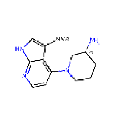 CNc1c[nH]c2nccc(N3CCC[C@@H](N)C3)c12